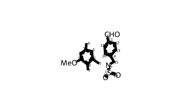 COc1cc(C)cc(C)c1C.O=Cc1ccc(CN=S(=O)=O)cc1